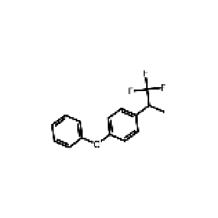 CC(c1ccc(Oc2ccccc2)cc1)C(F)(F)F